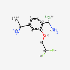 CC(N)c1ccc(CN)c(OCC(F)F)c1.Cl